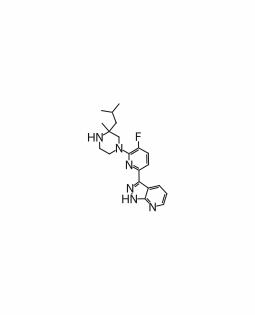 CC(C)CC1(C)CN(c2nc(-c3n[nH]c4ncccc34)ccc2F)CCN1